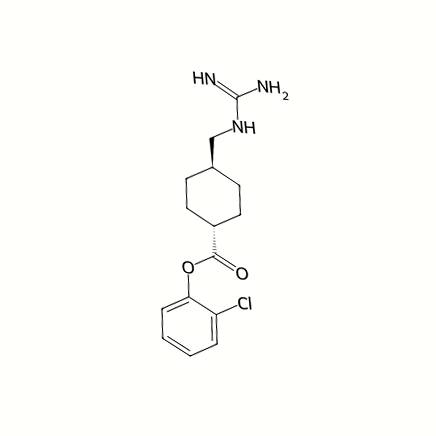 N=C(N)NC[C@H]1CC[C@H](C(=O)Oc2ccccc2Cl)CC1